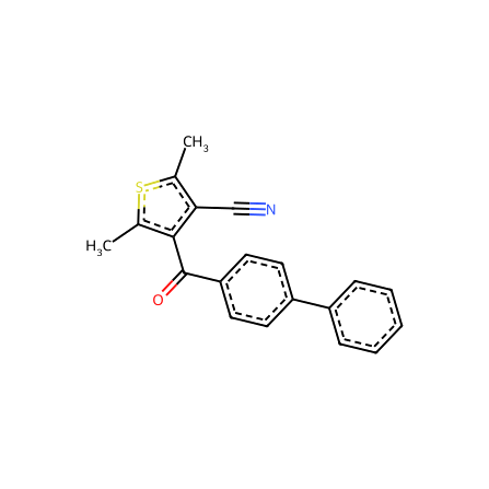 Cc1sc(C)c(C(=O)c2ccc(-c3ccccc3)cc2)c1C#N